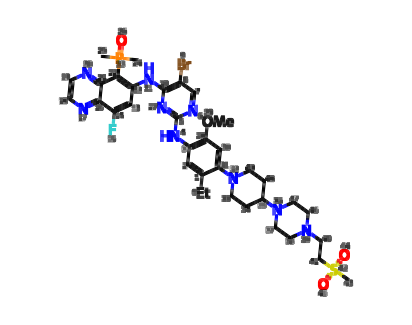 CCc1cc(Nc2ncc(Br)c(Nc3cc(F)c4nccnc4c3P(C)(C)=O)n2)c(OC)cc1N1CCC(N2CCN(CCS(C)(=O)=O)CC2)CC1